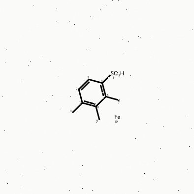 Cc1ccc(S(=O)(=O)O)c(C)c1C.[Fe]